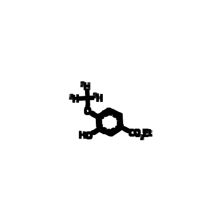 [2H]C([2H])([2H])Oc1ccc(C(=O)OCC)cc1O